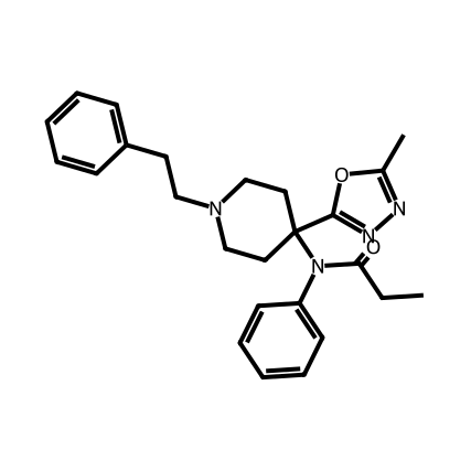 CCC(=O)N(c1ccccc1)C1(c2nnc(C)o2)CCN(CCc2ccccc2)CC1